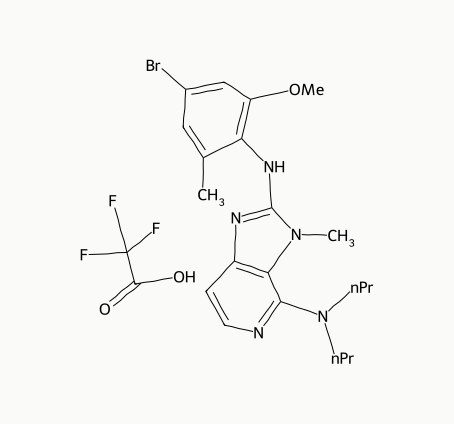 CCCN(CCC)c1nccc2nc(Nc3c(C)cc(Br)cc3OC)n(C)c12.O=C(O)C(F)(F)F